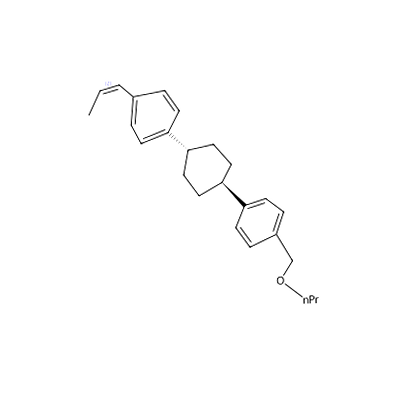 C/C=C\c1ccc([C@H]2CC[C@H](c3ccc(COCCC)cc3)CC2)cc1